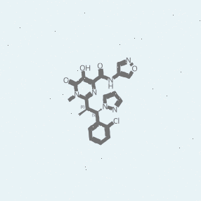 C[C@@H](c1nc(C(=O)Nc2cnoc2)c(O)c(=O)n1C)[C@@H](c1ccccc1Cl)n1cccn1